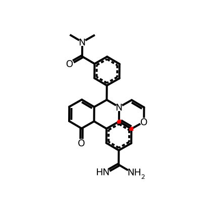 CN(C)C(=O)c1cccc(C(C2=CC=CC(=O)C2c2cccc(C(=N)N)c2)N2C=COC=C2)c1